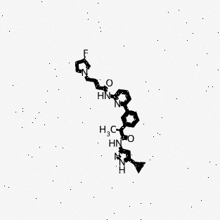 C[C@H](C(=O)Nc1cc(C2CC2)[nH]n1)c1cccc(-c2cccc(NC(=O)/C=C/CN3CC[C@H](F)C3)n2)c1